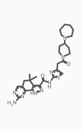 CC1(C)Cc2cnc(N)nc2-c2[nH]nc(C(=O)Nc3nc(CC(=O)N4CCC(N5CCCCCC5)CC4)cs3)c21